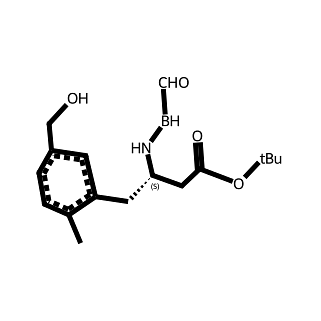 Cc1ccc(CO)cc1C[C@@H](CC(=O)OC(C)(C)C)NBC=O